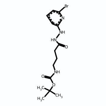 CC(C)(C)OC(=O)NCCCC(=O)NNc1cccc(Br)n1